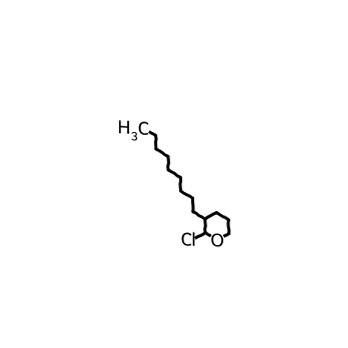 CCCCCCCCCC1CCCOC1Cl